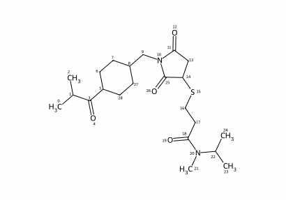 CC(C)C(=O)C1CCC(CN2C(=O)CC(SCCC(=O)N(C)C(C)C)C2=O)CC1